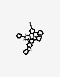 N#Cc1cc(-c2ccccc2)c(-n2c3ccccc3c3ccccc32)c(-c2nc(-c3ccccc3)nc(-c3ccc4oc5ccccc5c4c3)n2)c1